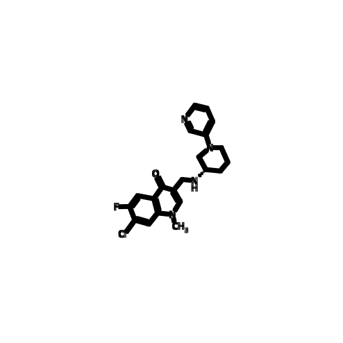 Cn1cc(CN[C@H]2CCCN(c3cccnc3)C2)c(=O)c2cc(F)c(Cl)cc21